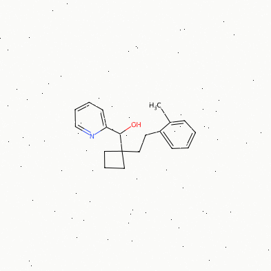 Cc1ccccc1CCC1(C(O)c2ccccn2)CCC1